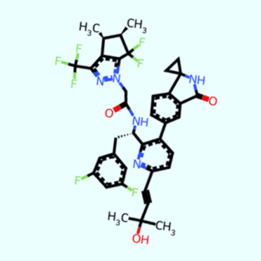 C[C@@H]1c2c(C(F)(F)F)nn(CC(=O)N[C@@H](Cc3cc(F)cc(F)c3)c3nc(C#CC(C)(C)O)ccc3-c3ccc4c(c3)C(=O)NC43CC3)c2C(F)(F)[C@@H]1C